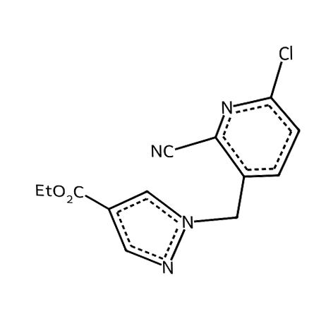 CCOC(=O)c1cnn(Cc2ccc(Cl)nc2C#N)c1